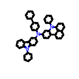 c1ccc(-c2ccc(N(c3ccc4c(c3)N(c3ccccc3)c3cccc5cccc-4c35)c3ccc4c(c3)c3ccccc3n4-c3ccccc3)cc2)cc1